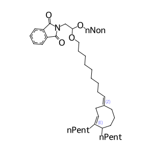 CCCCCCCCCOC(CN1C(=O)c2ccccc2C1=O)OCCCCCCCC/C=C1\C/C=C(\CCCCC)C(CCCCC)CCC1